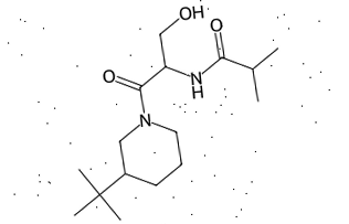 CC(C)C(=O)NC(CO)C(=O)N1CCCC(C(C)(C)C)C1